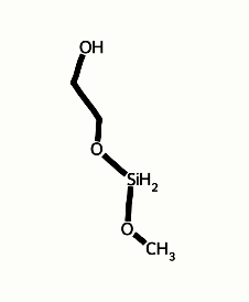 CO[SiH2]OCCO